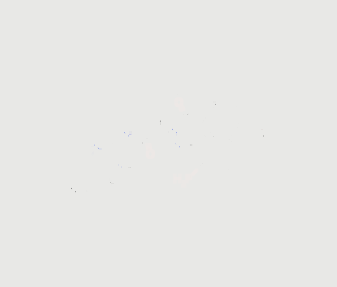 N#Cc1cnc(NC(=O)Cn2nc(C(P)I)c3cc(Br)ccc3c2=O)nc1